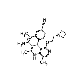 COc1cc(C#N)ccc1[C@@H]1C(C(N)=O)=C(C)Nc2c(C)cnc(OCCN3CCC3)c21